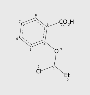 CCC(Cl)Oc1ccccc1C(=O)O